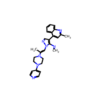 C=Nc1c(-c2cc(C)nc3ccccc23)cnn1/C=C(\C)N1CCN(c2ccncc2)CC1